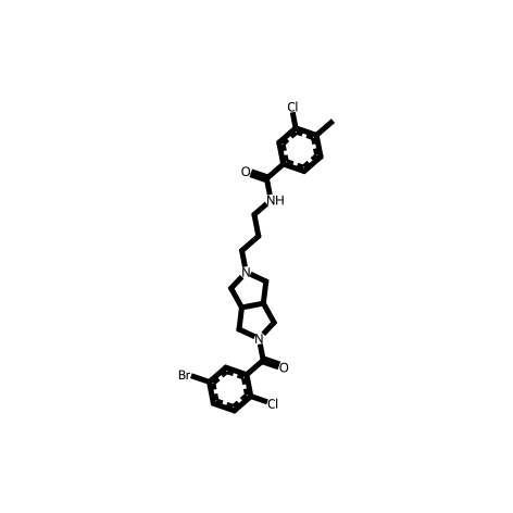 Cc1ccc(C(=O)NCCCN2CC3CN(C(=O)c4cc(Br)ccc4Cl)CC3C2)cc1Cl